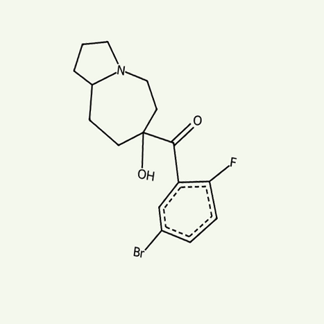 O=C(c1cc(Br)ccc1F)C1(O)CCC2CCCN2CC1